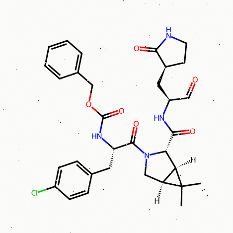 CC1(C)[C@@H]2[C@@H](C(=O)N[C@H](C=O)C[C@@H]3CCNC3=O)N(C(=O)[C@H](Cc3ccc(Cl)cc3)NC(=O)OCc3ccccc3)C[C@@H]21